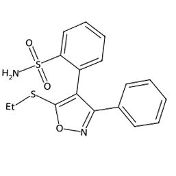 CCSc1onc(-c2ccccc2)c1-c1ccccc1S(N)(=O)=O